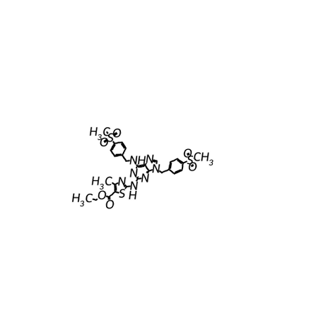 CCOC(=O)c1sc(Nc2nc(NCc3ccc(S(C)(=O)=O)cc3)c3ncn(Cc4ccc(S(C)(=O)=O)cc4)c3n2)nc1C